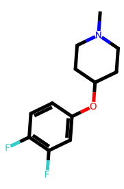 CN1CCC(Oc2ccc(F)c(F)c2)CC1